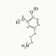 CCOc1ccc(CCCN)cc1OCC